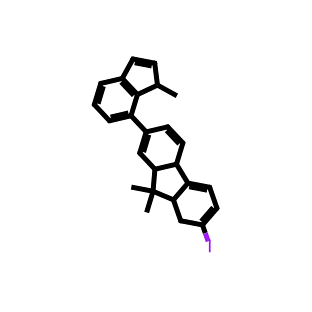 CC1C=Cc2cccc(C3=CC4C(C=C3)C3=CC=C(I)CC3C4(C)C)c21